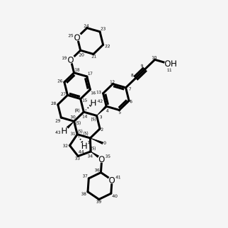 C[C@]12C[C@H](c3ccc(C#CCO)cc3)[C@@H]3c4ccc(OC5CCCCO5)cc4CC[C@H]3[C@@H]1CC[C@@H]2OC1CCCCO1